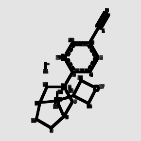 C#Cc1ccc(N2CC3CCC(C2)[N+]3(C)C2COC2)nc1.[I-]